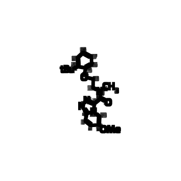 COc1ccc2nnc(C(=O)N(C)CCOc3ccccc3C(C)(C)C)n2c1